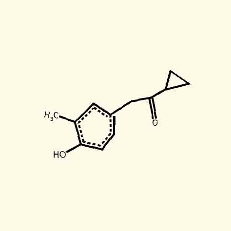 Cc1cc(CC(=O)C2CC2)ccc1O